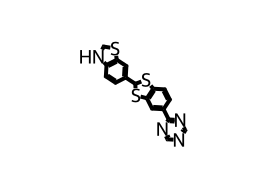 c1ncnc(-c2ccc3c(c2)SC(c2ccc4c(c2)SCN4)S3)n1